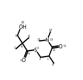 CC(CSC(=O)C(C)(C)CO)C(=O)N(C)C